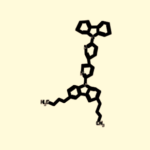 CCCCc1ccc2c(c1)c1cc(CCCC)ccc1n2-c1ccc(-c2ccc(-n3c4ccccc4c4ccccc43)nc2)cn1